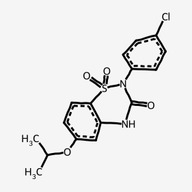 CC(C)Oc1ccc2c(c1)NC(=O)N(c1ccc(Cl)cc1)S2(=O)=O